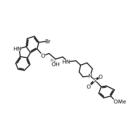 COc1ccc(S(=O)(=O)N2CCC(CNC[C@H](O)COc3c(Br)ccc4[nH]c5ccccc5c34)CC2)cc1